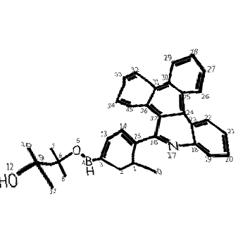 CC1CC(BOC(C)(C)C(C)(C)O)=CC=C1c1nc2ccccc2c2c3ccccc3c3ccccc3c12